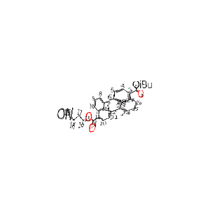 CC(C)COC(=O)c1ccc2c3cccc4c(C(=O)OCCCN=O)ccc(c5cccc1c52)c43